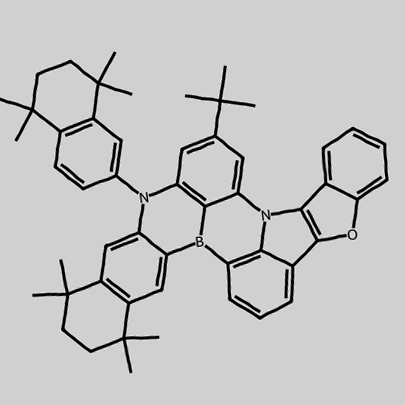 CC(C)(C)c1cc2c3c(c1)-n1c4c(cccc4c4oc5ccccc5c41)B3c1cc3c(cc1N2c1ccc2c(c1)C(C)(C)CCC2(C)C)C(C)(C)CCC3(C)C